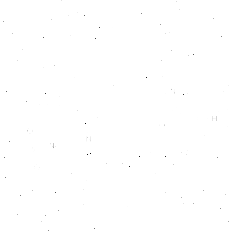 CS(=O)(=O)N1CCN(c2ccc(OC3CC4CCC(N4)C3C(=O)O)cc2)CC1